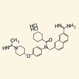 CC(=N)N1CCC(Oc2ccc(N(Cc3ccc4ccc(C(=N)N)cc4c3)C(=O)C3CCCCC3)cc2)CC1.Cl.Cl